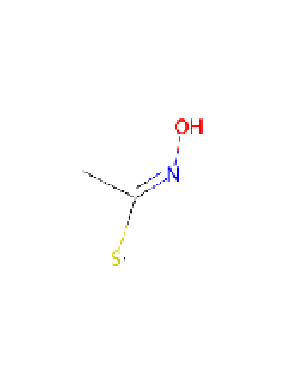 C/C([S])=N\O